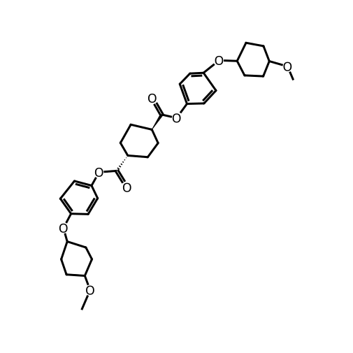 COC1CCC(Oc2ccc(OC(=O)[C@H]3CC[C@H](C(=O)Oc4ccc(OC5CCC(OC)CC5)cc4)CC3)cc2)CC1